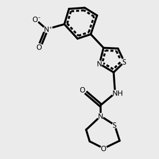 O=C(Nc1nc(-c2cccc([N+](=O)[O-])c2)cs1)N1CCOCS1